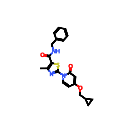 Cc1nc(-n2ccc(OCC3CC3)cc2=O)sc1C(=O)NCc1ccccc1